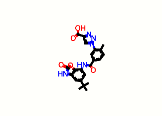 Cc1ccc(C(=O)Nc2cc(C(C)(C)C)cc3[nH]c(=O)oc23)cc1-n1cc(C(=O)O)nn1